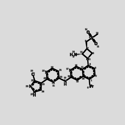 CC(C)c1ccc(N2C[C@H](CS(C)(=O)=O)[C@H]2N)c2cnc(Nc3ccnc(-c4c[nH]nc4Cl)n3)cc12